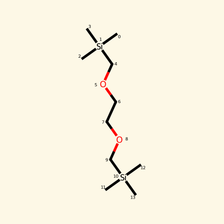 C[Si](C)(C)COCCOC[Si](C)(C)C